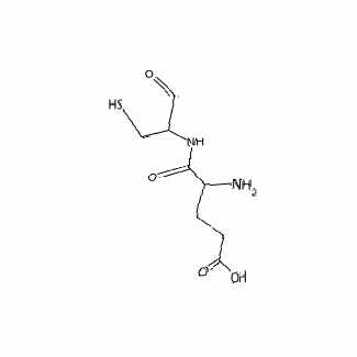 NC(CCC(=O)O)C(=O)NC([C]=O)CS